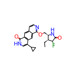 CC[C@@H]1[C@H](F)C(=O)N[C@@H]1COc1nccc2cc3c(=O)[nH]cc(C4CC4)c3cc12